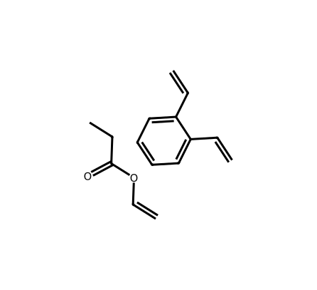 C=COC(=O)CC.C=Cc1ccccc1C=C